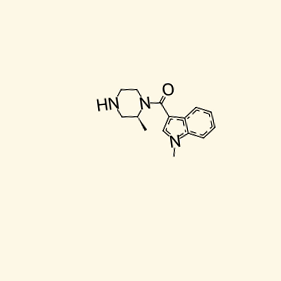 C[C@H]1CNCCN1C(=O)c1cn(C)c2ccccc12